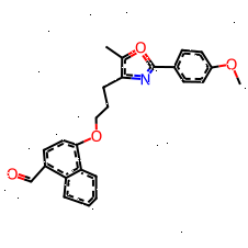 COc1ccc(-c2nc(CCCOc3ccc(C=O)c4ccccc34)c(C)o2)cc1